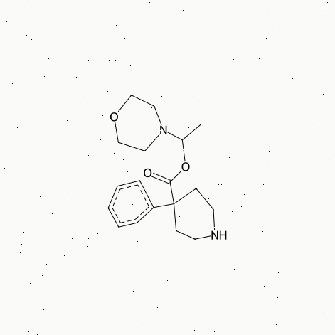 CC(OC(=O)C1(c2ccccc2)CCNCC1)N1CCOCC1